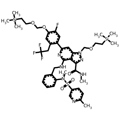 CNC(=O)c1nn(COCC[Si](C)(C)C)c2cc(-c3cc(F)c(OCOCC[Si](C)(C)C)cc3CC(F)(F)F)nc(NCc3ccccc3N(C)S(=O)(=O)c3ccc(C)nc3)c12